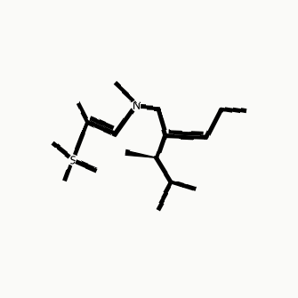 CC/C=C(\CN(C)/C=C(\C)S(C)(C)C)[C@H](C)C(C)C